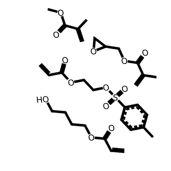 C=C(C)C(=O)OC.C=C(C)C(=O)OCC1CO1.C=CC(=O)OCCCCO.C=CC(=O)OCCOS(=O)(=O)c1ccc(C)cc1